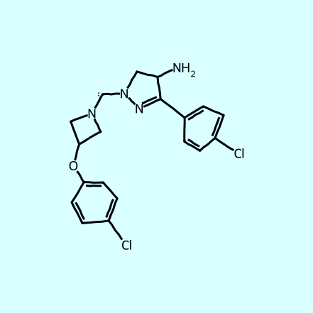 NC1CN([C]N2CC(Oc3ccc(Cl)cc3)C2)N=C1c1ccc(Cl)cc1